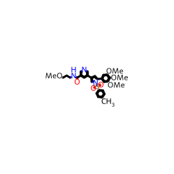 COCCCNC(=O)c1cncc(-c2cc(-c3cc(OC)c(OC)c(OC)c3)n(S(=O)(=O)c3ccc(C)cc3)c2)c1